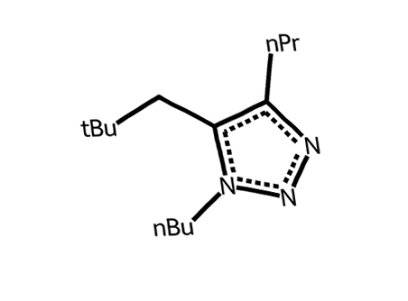 CCCCn1nnc(CCC)c1CC(C)(C)C